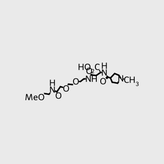 COCCNC(=O)COCCOCCNC(=O)C[C@H](NC(=O)C1CCN(C)CC1)C(=O)O